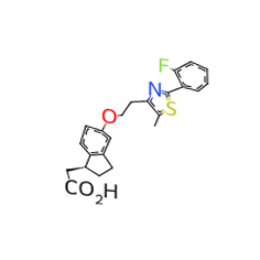 Cc1sc(-c2ccccc2F)nc1CCOc1ccc2c(c1)CC[C@H]2CC(=O)O